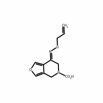 C=CCON=C1CN(C(=O)O)Cc2cocc21